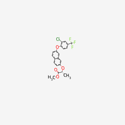 COC(=O)[C@@H](C)Oc1ccc2ccc(Oc3ccc(C(F)(F)F)cc3Cl)cc2c1